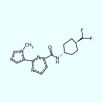 Cn1cncc1-c1nccc(C(=O)N[C@H]2CC[C@H](C(F)F)CC2)n1